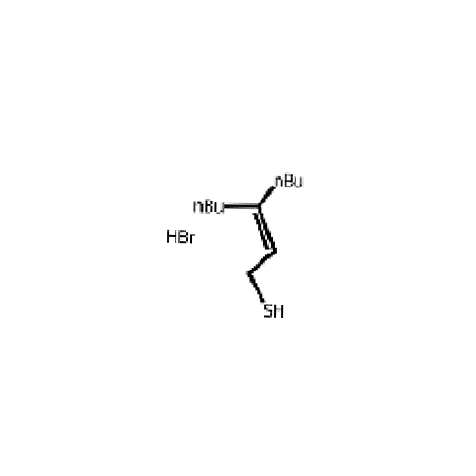 Br.CCCCC(=CCS)CCCC